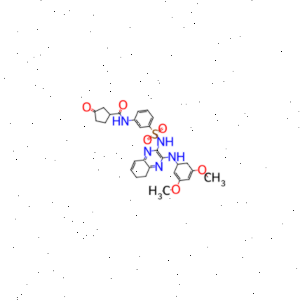 COC1=CC(Nc2nc3c(nc2NS(=O)(=O)c2cccc(NC(=O)C4CCC(=O)C4)c2)C=CCC3)CC(OC)=C1